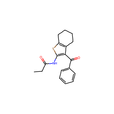 CCC(=O)Nc1sc2c(c1C(=O)c1ccccc1)CCCC2